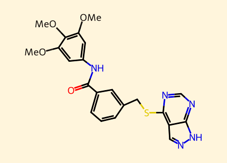 COc1cc(NC(=O)c2cccc(CSc3ncnc4[nH]ncc34)c2)cc(OC)c1OC